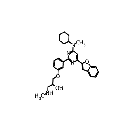 CNCC(O)COc1cccc(-c2nc(-c3cc4ccccc4o3)cc(N(C)C3CCCCC3)n2)c1